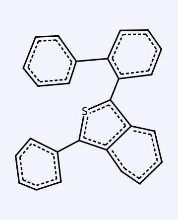 c1ccc(-c2ccccc2-c2sc(-c3ccccc3)c3ccccc23)cc1